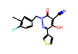 Cc1cc(Cn2nc(-c3ccsc3)c(O)c(C#N)c2=O)ccc1F